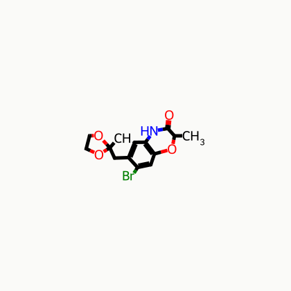 CC1Oc2cc(Br)c(CC3(C)OCCO3)cc2NC1=O